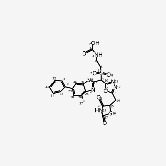 O=C(O)NCCS(=O)(=O)C(c1nnc(CC2SC(=O)NC2=O)o1)c1nc2c(F)cc(-c3ccccc3)cc2s1